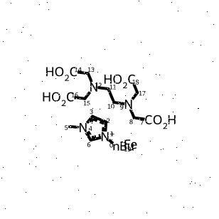 CCCC[n+]1ccn(C)c1.O=C(O)CN(CCN(CC(=O)O)CC(=O)O)CC(=O)O.[Fe]